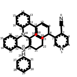 N#Cc1ccncc1C1C=CC(c2ccccc2N2C3=C(CCC=C3)[SiH](c3ccccc3)c3ccccc32)=CC1